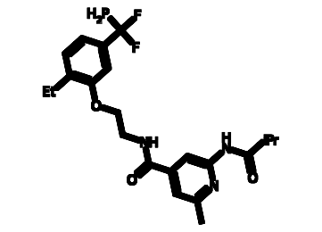 CCc1ccc(C(F)(F)P)cc1OCCNC(=O)c1cc(C)nc(NC(=O)C(C)C)c1